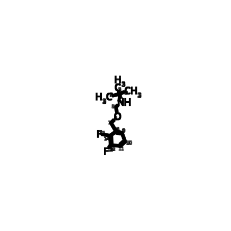 CC(C)(C)NCOCc1cccc(F)c1F